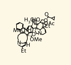 CCC1=C[C@@H]2CN(CCc3c([nH]c4ccccc34)[C@@](C(=O)OC)(c3cc4c(cc3OC)N(C)[C@H]3C(O)(COC(=O)C5CC5)[C@H](OC(C)=O)[C@]5(CC)C=CCN6CC[C@]43C65)C2)C1